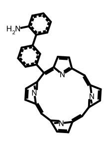 Nc1ccccc1-c1cccc(C2=C3C=CC(=N3)C=C3C=CC(=N3)C=C3C=CC(=N3)C=C3C=CC2=N3)c1